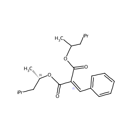 CC(C)CC(C)OC(=O)/C(=C\c1ccccc1)C(=O)O[C@@H](C)CC(C)C